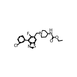 CCOC(=O)NC1CCN(Cc2cc3scnc3c(-c3cccc(Cl)c3)c2F)CC1